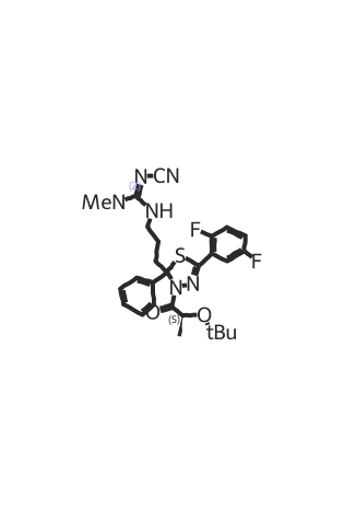 CN/C(=N/C#N)NCCCC1(c2ccccc2)SC(c2cc(F)ccc2F)=NN1C(=O)[C@H](C)OC(C)(C)C